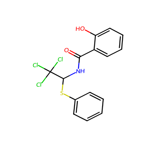 O=C(NC(Sc1ccccc1)C(Cl)(Cl)Cl)c1ccccc1O